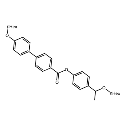 CCCCCCOc1ccc(-c2ccc(C(=O)Oc3ccc(C(C)OCCCCCC)cc3)cc2)cc1